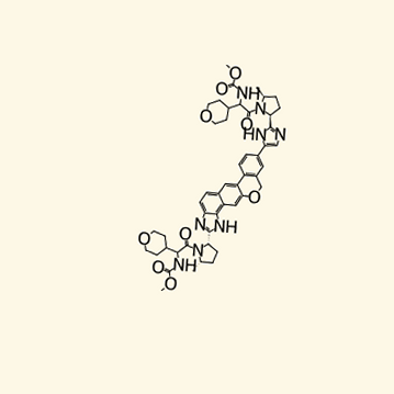 COC(=O)NC(C(=O)N1[C@@H](C)CC[C@H]1c1ncc(-c2ccc3c(c2)COc2cc4c(ccc5nc([C@@H]6CC[C@H](C)N6C(=O)C(NC(=O)OC)C6CCOCC6)[nH]c54)cc2-3)[nH]1)C1CCOCC1